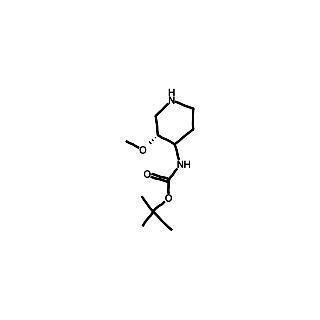 CO[C@@H]1CNCCC1NC(=O)OC(C)(C)C